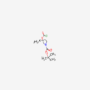 CC(C)(C)OC(=O)N1CCC(C)(OC(=O)Cl)C1